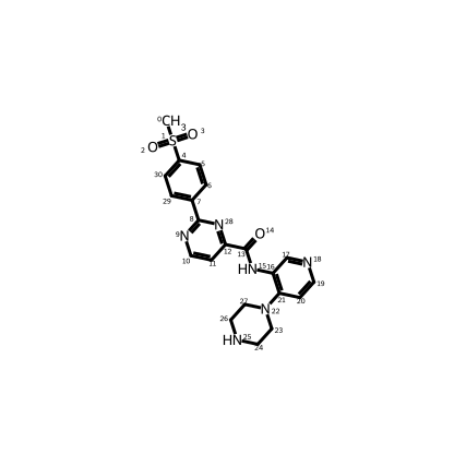 CS(=O)(=O)c1ccc(-c2nccc(C(=O)Nc3cnccc3N3CCNCC3)n2)cc1